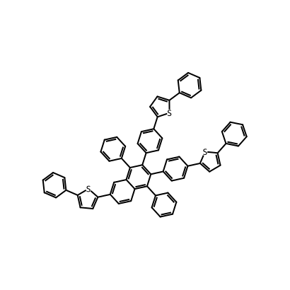 c1ccc(-c2ccc(-c3ccc(-c4c(-c5ccc(-c6ccc(-c7ccccc7)s6)cc5)c(-c5ccccc5)c5cc(-c6ccc(-c7ccccc7)s6)ccc5c4-c4ccccc4)cc3)s2)cc1